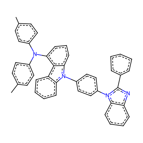 Cc1ccc(N(c2ccc(C)cc2)c2cccc3c2c2ccccc2n3-c2ccc(-n3c(-c4ccccc4)nc4ccccc43)cc2)cc1